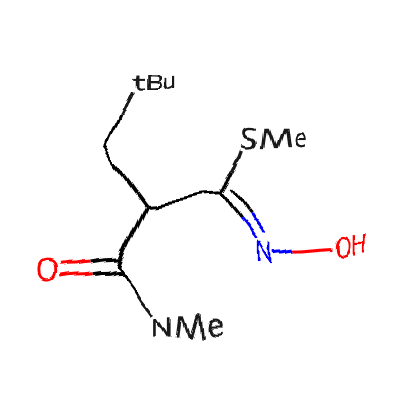 CNC(=O)C(CC(C)(C)C)C(=NO)SC